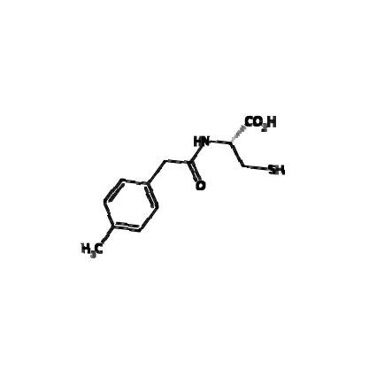 Cc1ccc(CC(=O)N[C@@H](CS)C(=O)O)cc1